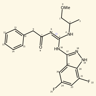 COCC(C)N/C(=N/C(=O)Cc1ccccc1)Nc1n[nH]c2c(F)cc(F)cc12